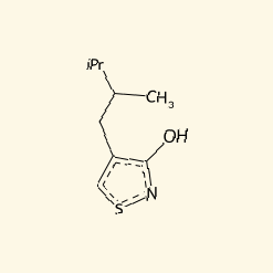 CC(C)C(C)Cc1csnc1O